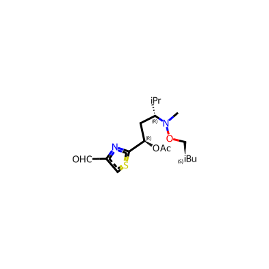 CC[C@H](C)CON(C)[C@H](C[C@@H](OC(C)=O)c1nc(C=O)cs1)C(C)C